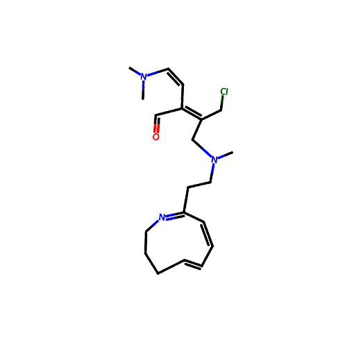 CN(C)/C=C\C(C=O)=C(/CCl)CN(C)CCC1=N/CCC/C=C/C=C\1